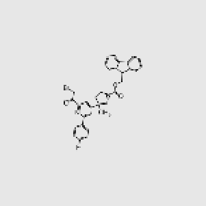 CC1(c2cc(C(=O)CBr)nc(-c3ccc(F)cc3)c2)CCN(C(=O)OCC2c3ccccc3-c3ccccc32)C1